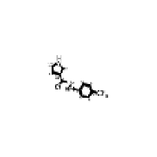 O=C(ONc1ccc(C(F)(F)F)cc1)C1=CCNC1